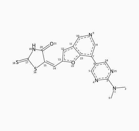 CN(C)c1ncc(-c2cncc3cc(C=C4SC(=S)NC4=O)oc23)cn1